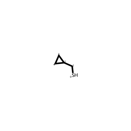 SCC1[CH]C1